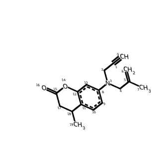 C#CCN(CC(=C)C)c1ccc2c(c1)OC(=O)CC2C